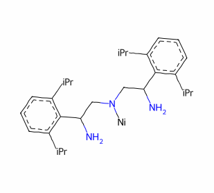 CC(C)c1cccc(C(C)C)c1C(N)C[N]([Ni])CC(N)c1c(C(C)C)cccc1C(C)C